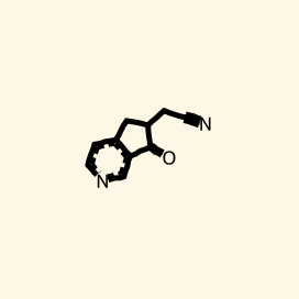 N#CCC1Cc2ccncc2C1=O